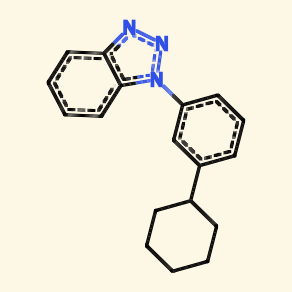 c1cc(C2CCCCC2)cc(-n2nnc3ccccc32)c1